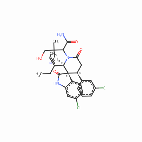 C/C=C(/CC)[C@H]1N(C(C(N)=O)C(C)(C)CO)C(=O)C[C@@H](c2cccc(Cl)c2)[C@]12C(=O)Nc1cc(Cl)ccc12